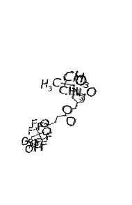 CC(C)(C)C(=O)N1CC(COC(=O)CCC(=O)OC(CS(=O)(=O)O)(C(F)(F)F)C(F)(F)F)CC1=O